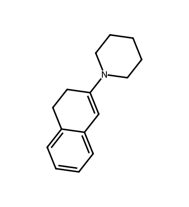 C1=C(N2CCCCC2)CCc2ccccc21